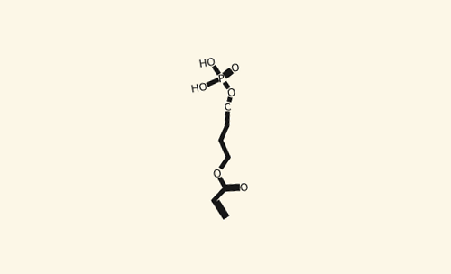 C=CC(=O)OCCCCOP(=O)(O)O